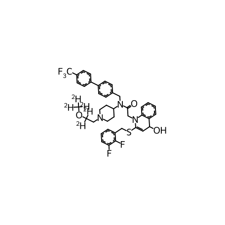 [2H]C([2H])([2H])OC([2H])([2H])CN1CCC(N(Cc2ccc(-c3ccc(C(F)(F)F)cc3)cc2)C(=O)CN2C(SCc3cccc(F)c3F)=CC(O)c3ccccc32)CC1